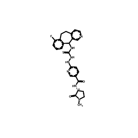 CN1CC[C@@H](NC(=O)c2ccc(NNC(=S)NC3c4cnccc4CCc4c(F)cccc43)nc2)C1=O